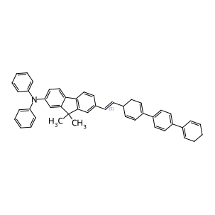 CC1(C)c2cc(/C=C/C3C=CC(c4ccc(C5=CCCC=C5)cc4)=CC3)ccc2-c2ccc(N(c3ccccc3)c3ccccc3)cc21